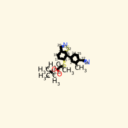 Cc1cc(-c2c(SC(C)(C)C(=O)OC(C)(C)C)ccc3cnsc23)ccc1C#N